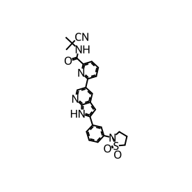 CC(C)(C#N)NC(=O)c1cccc(-c2cnc3[nH]c(-c4cccc(N5CCCS5(=O)=O)c4)cc3c2)n1